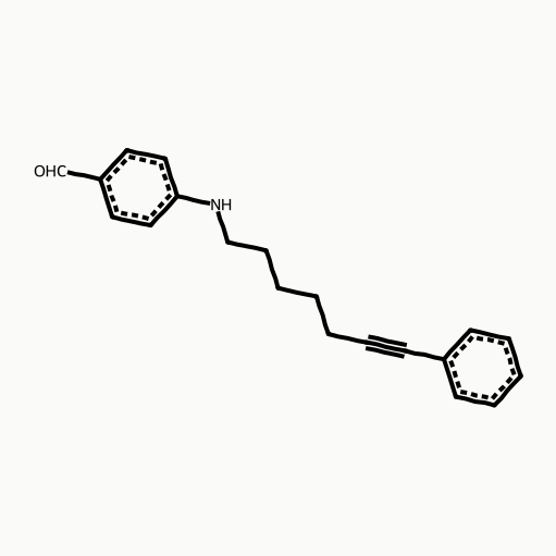 O=Cc1ccc(NCCCCCC#Cc2ccccc2)cc1